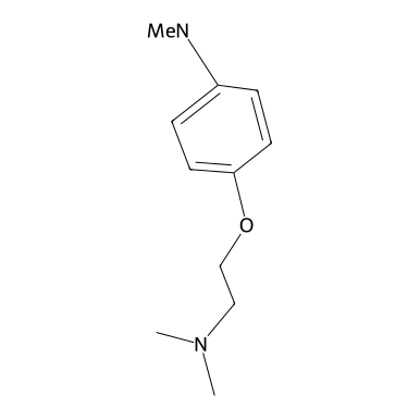 CNc1ccc(OCCN(C)C)cc1